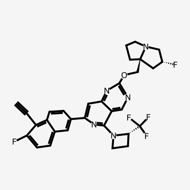 C#Cc1c(F)ccc2cc(-c3cc4nc(OC[C@@]56CCCN5C[C@H](F)C6)ncc4c(N4CC[C@H]4C(F)(F)F)n3)ccc12